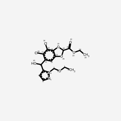 CCOCn1nccc1C(O)c1cc2c(c(Cl)c1Cl)OC(C(=O)OCC)O2